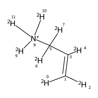 [2H]C([2H])=C([2H])C([2H])([2H])[N+]([2H])([2H])[2H]